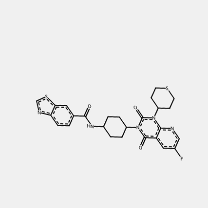 O=C(NC1CCC(n2c(=O)c3cc(F)cnc3n(C3CCSCC3)c2=O)CC1)c1ccc2ncsc2c1